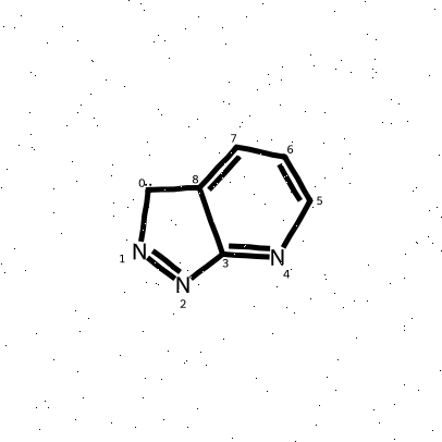 [C]1N=Nc2ncccc21